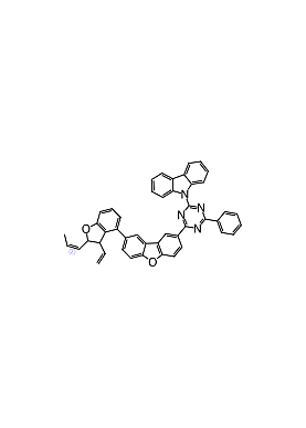 C=CC1c2c(cccc2-c2ccc3oc4ccc(-c5nc(-c6ccccc6)nc(-n6c7ccccc7c7ccccc76)n5)cc4c3c2)OC1/C=C\C